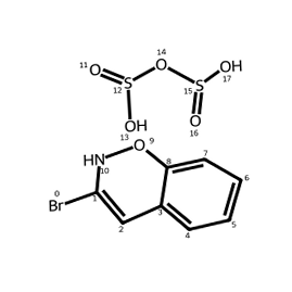 BrC1=Cc2ccccc2ON1.O=S(O)OS(=O)O